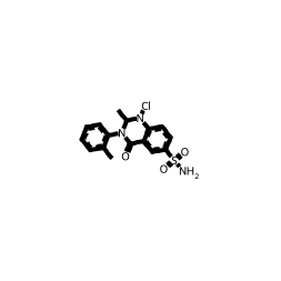 Cc1ccccc1N1C(=O)c2cc(S(N)(=O)=O)ccc2N(Cl)C1C